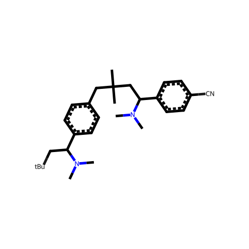 CN(C)C(CC(C)(C)C)c1ccc(CC(C)(C)CC(c2ccc(C#N)cc2)N(C)C)cc1